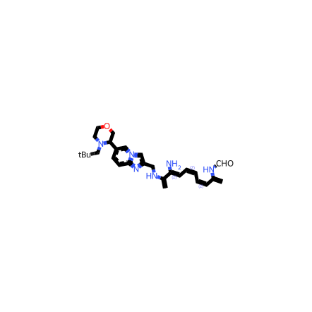 C=C(\C=C/C=C\C=C(/N)C(=C)NCc1cn2cc(C3COCCN3CC(C)(C)C)ccc2n1)NC=O